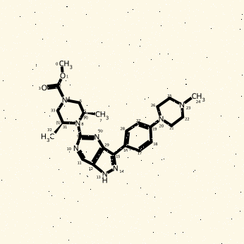 COC(=O)N1C[C@@H](C)N(c2ncc3[nH]nc(-c4ccc(N5CCN(C)CC5)cc4)c3n2)[C@@H](C)C1